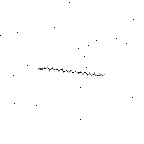 CCCCCCCCCCCCCCCCCCCCOCCOCCCCCCCCCCCCCCCCCC